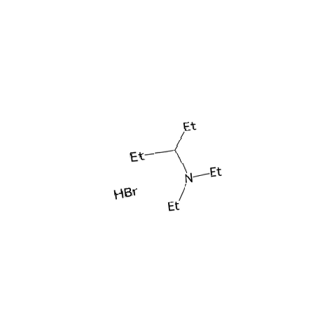 Br.CCC(CC)N(CC)CC